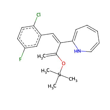 C=C(O[Si](C)(C)C)C(=Cc1cc(F)ccc1Cl)C1=CC=CC=CN1